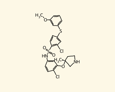 COc1cccc(Sc2ccc(S(=O)(=O)Nc3ccc(Cl)c(O[C@]4(C)CCNC4)c3)c(Cl)c2)c1